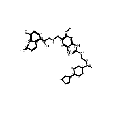 COc1cc(NC(=O)OCCN(C)C2CCC(C3CCCC3)CC2)c(Cl)cc1CNC[C@@H](O)c1ccc(O)c2[nH]c(=O)ccc12